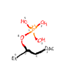 CCC(COC(C)=O)O[PH](O)(O)O